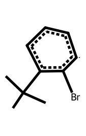 CC(C)(C)c1ccc[c]c1Br